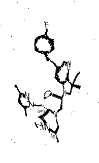 Cc1cc(C)n(C[C@H]2CN[C@H](C)CN2CC(=O)N2CC(C)(C)c3ncc(Cc4ccc(F)cc4)cc32)n1